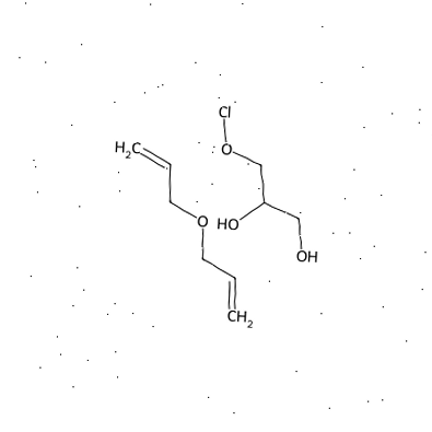 C=CCOCC=C.OCC(O)COCl